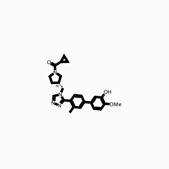 COc1ccc(-c2ccc(-c3nncn3C[C@@H]3CCN(C(=O)C4CC4)C3)c(C)c2)cc1O